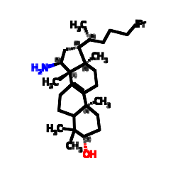 CC(C)CCC[C@@H](C)[C@H]1C[C@H](N)[C@@]2(C)C3=C(CC[C@]12C)[C@@]1(C)CC[C@H](O)C(C)(C)C1CC3